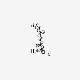 CCOC(=O)OCCOC(=O)OC(C)C